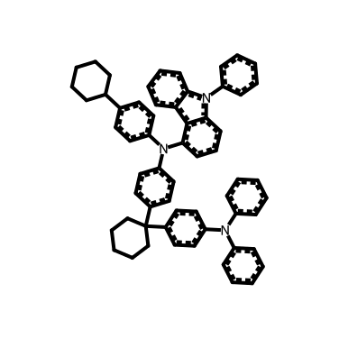 c1ccc(N(c2ccccc2)c2ccc(C3(c4ccc(N(c5ccc(C6CCCCC6)cc5)c5cccc6c5c5ccccc5n6-c5ccccc5)cc4)CCCCC3)cc2)cc1